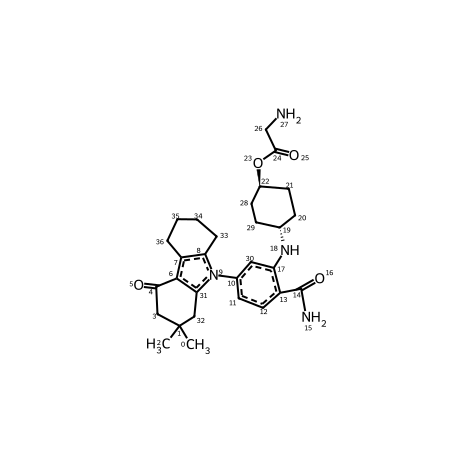 CC1(C)CC(=O)c2c3c(n(-c4ccc(C(N)=O)c(N[C@H]5CC[C@H](OC(=O)CN)CC5)c4)c2C1)CCCC3